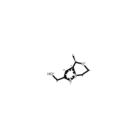 C[C@H]1OCCn2nc(CO)cc21